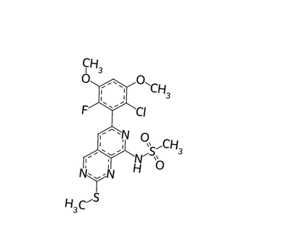 COc1cc(OC)c(Cl)c(-c2cc3cnc(SC)nc3c(NS(C)(=O)=O)n2)c1F